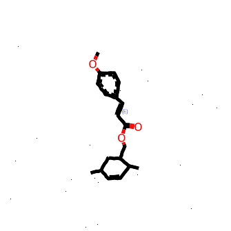 COc1ccc(/C=C/C(=O)OCC2CC(C)C=CC2C)cc1